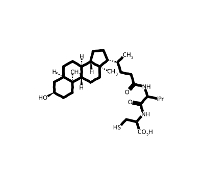 CC(C)C(NC(=O)CCC(C)[C@H]1CC[C@H]2[C@@H]3CC[C@@H]4C[C@H](O)CC[C@]4(C)[C@H]3CC[C@]12C)C(=O)NC(CS)C(=O)O